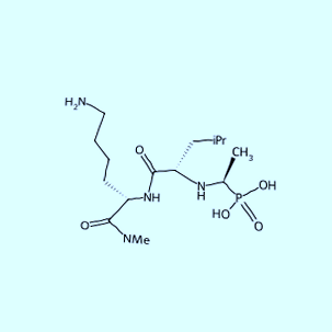 CNC(=O)[C@H](CCCCN)NC(=O)[C@H](CC(C)C)N[C@@H](C)P(=O)(O)O